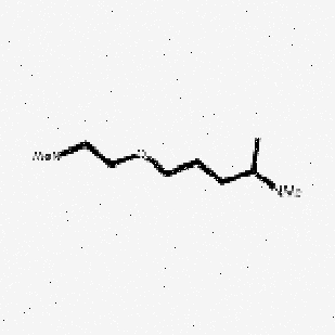 CNCCOCCCC(C)NC